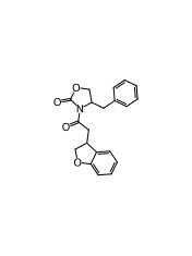 O=C(CC1COc2ccccc21)N1C(=O)OCC1Cc1ccccc1